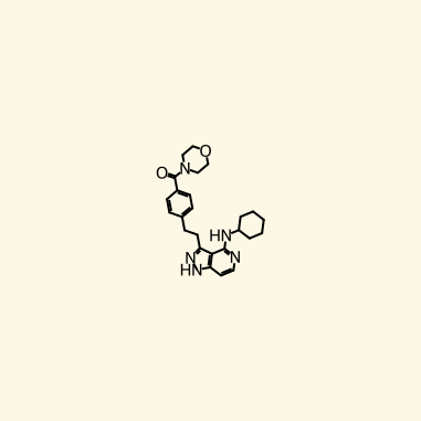 O=C(c1ccc(CCc2n[nH]c3ccnc(NC4CCCCC4)c23)cc1)N1CCOCC1